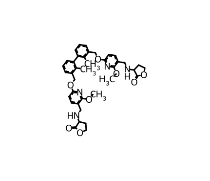 COc1nc(OCc2cccc(-c3cccc(COc4ccc(CNC5CCOC5=O)c(OC)n4)c3C)c2C)ccc1CNC1CCOC1=O